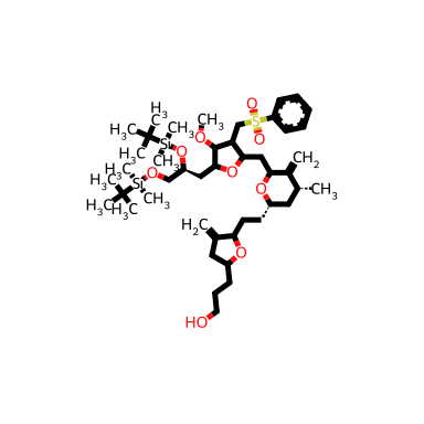 C=C1CC(CCCO)OC1CC[C@H]1C[C@@H](C)C(=C)C(CC2OC(C[C@@H](CO[Si](C)(C)C(C)(C)C)O[Si](C)(C)C(C)(C)C)C(OC)C2CS(=O)(=O)c2ccccc2)O1